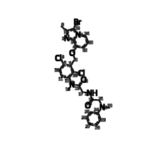 Cc1nc2c(OCc3c(Cl)ccc(N(C)C(=O)CNC(=O)CN(C)c4ccccc4)c3Cl)cccn2c1Br